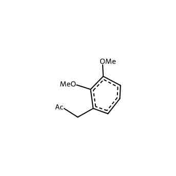 COc1cccc(CC(C)=O)c1OC